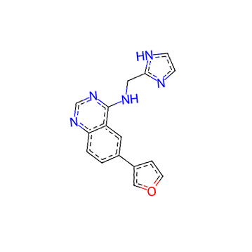 c1c[nH]c(CNc2ncnc3ccc(-c4ccoc4)cc23)n1